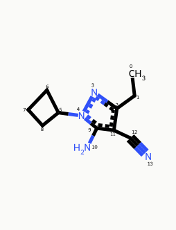 CCc1nn(C2CCC2)c(N)c1C#N